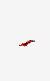 CCCCCCCC(=O)Oc1ccc(-c2ccc(C3=CCC(CCCCCCC)CC3)cc2)cc1